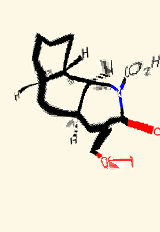 O=C(O)N1C(=O)C(=CO)[C@H]2C[C@@H]3CCC[C@@H]3[C@H]21